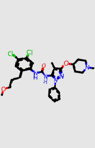 COCCCc1cc(Cl)c(Cl)cc1NC(=O)Nc1c(C)c(OC2CCN(C)CC2)nn1-c1ccccc1